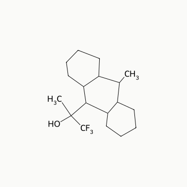 CC1C2CCCCC2C(C(C)(O)C(F)(F)F)C2CCCCC12